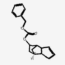 O=C(OCc1ccccc1)OC1C[C@H]2CC1C1C=CCC12